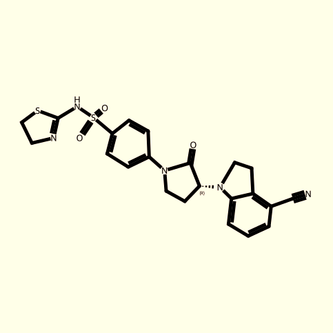 N#Cc1cccc2c1CCN2[C@@H]1CCN(c2ccc(S(=O)(=O)NC3=NCCS3)cc2)C1=O